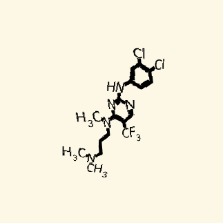 CN(C)CCCN(C)c1nc(Nc2ccc(Cl)c(Cl)c2)ncc1C(F)(F)F